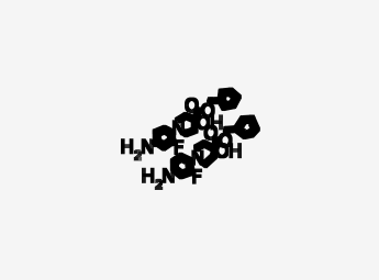 Nc1ccc(N2CCC(O)(C(=O)OCc3ccccc3)CC2)c(F)c1.Nc1ccc(N2CCC(O)(C(=O)OCc3ccccc3)CC2)c(F)c1